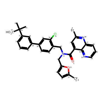 CCc1cc(C(=O)N(Cc2ccc(C(F)(F)F)o2)Cc2ccc(-c3cccc(C(C)(C)C(=O)O)c3)cc2Cl)c2ncccc2n1